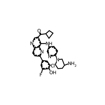 NC1CCCN(c2ccc(Nc3c(C(=O)C4CCC4)cnc4ccc(-c5cc(F)c(O)c(Cl)c5)nc34)cn2)C1